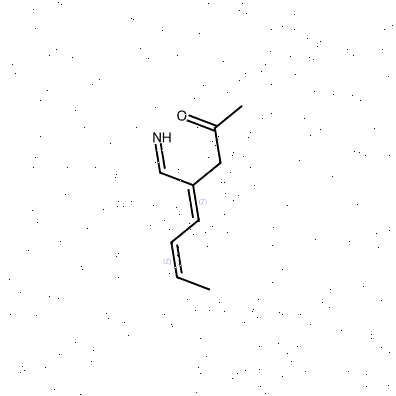 C/C=C\C=C(/C=N)CC(C)=O